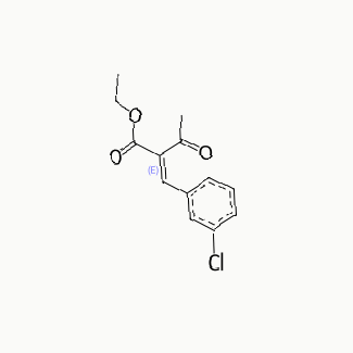 CCOC(=O)/C(=C/c1cccc(Cl)c1)C(C)=O